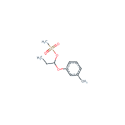 CCC(Oc1cccc(C)c1)OS(C)(=O)=O